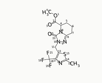 COC(=O)C1CCCc2nn(Cc3sc(C)nc3C(F)(F)F)c(=O)n21